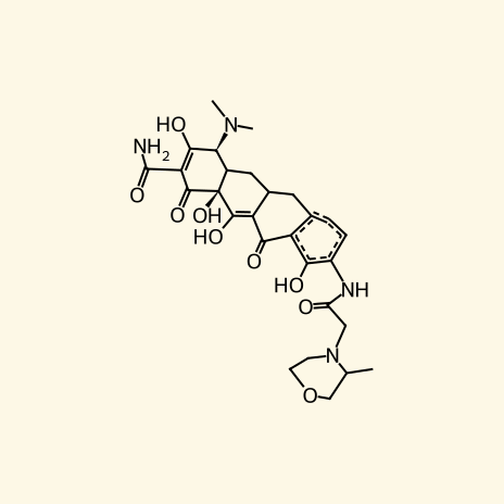 CC1COCCN1CC(=O)Nc1ccc2c(c1O)C(=O)C1=C(O)[C@]3(O)C(=O)C(C(N)=O)=C(O)[C@@H](N(C)C)C3CC1C2